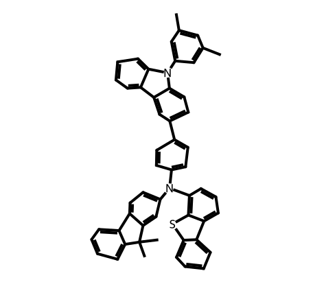 Cc1cc(C)cc(-n2c3ccccc3c3cc(-c4ccc(N(c5ccc6c(c5)C(C)(C)c5ccccc5-6)c5cccc6c5sc5ccccc56)cc4)ccc32)c1